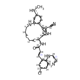 CNc1ccc2c(c1)NCCCCC[C@H](NC(=O)/C=C/c1cc(Cl)ccc1N/C=N\N)c1nc-2c(C#N)[nH]1